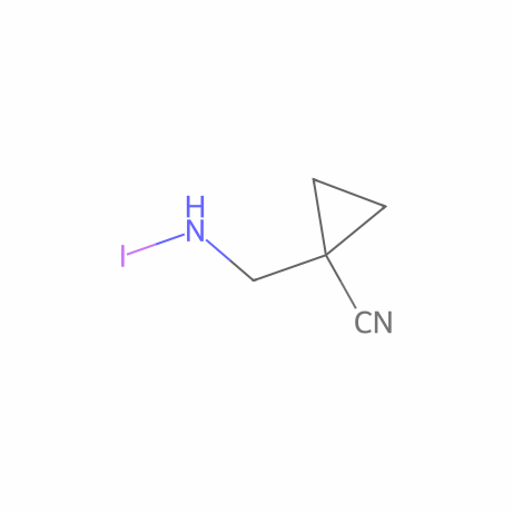 N#CC1(CNI)CC1